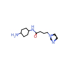 NC1CCC(NC(=O)CCCn2ccnc2)CC1